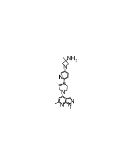 Cc1cc(N2CC[C@H](c3ccc(N4CC(C)(N)C4)cn3)[C@@H](C)C2)c2cnn(C)c2n1